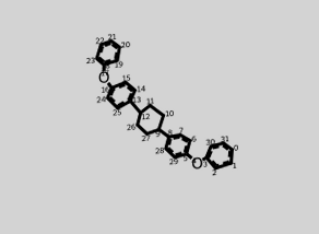 c1ccc(Oc2ccc(C3CCC(c4ccc(Oc5ccccc5)cc4)CC3)cc2)cc1